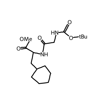 COC(=O)C(CC1CCCCC1)NC(=O)CNC(=O)OC(C)(C)C